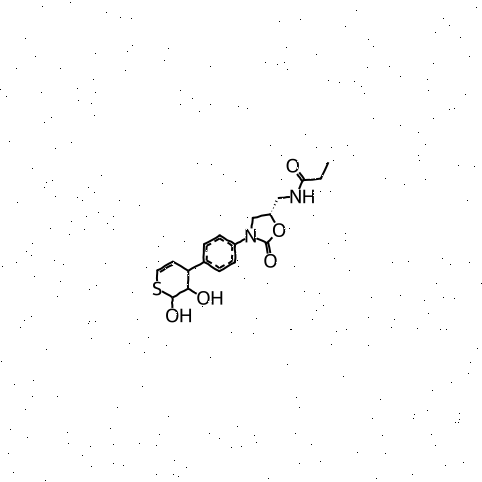 CCC(=O)NC[C@H]1CN(c2ccc(C3C=CSC(O)C3O)cc2)C(=O)O1